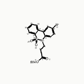 COC(=O)CCN1c2ccc(Br)cc2-c2ccccc2S1(=O)=O